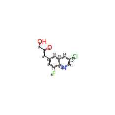 O=C(CO)Cc1cc(F)c2ncc(Cl)cc2c1